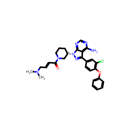 CN(C)CC=CC(=O)N1CCC[C@H](n2nc(-c3ccc(Oc4ccccc4)c(Cl)c3)c3c(N)ncnc32)C1